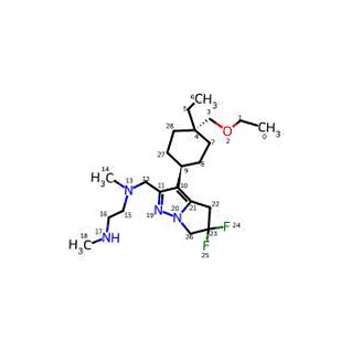 CCOC[C@]1(CC)CC[C@@H](c2c(CN(C)CCNC)nn3c2CC(F)(F)C3)CC1